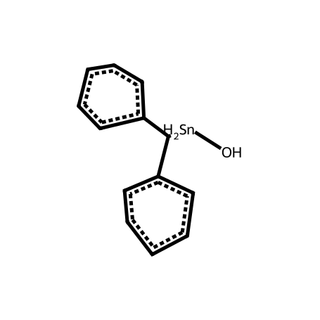 [OH][SnH2][CH](c1ccccc1)c1ccccc1